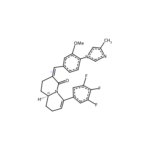 COc1cc(/C=C2/CC[C@@H]3CCC=C(c4cc(F)c(F)c(F)c4)N3C2=O)ccc1-n1cnc(C)c1